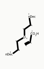 C=CC(=O)O.CCCCCCCCCCCCOCCCCCCCCCCCC